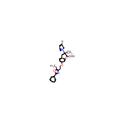 COC(=O)[C@](C)(Cc1ccc(OCCc2nc(-c3ccccc3)oc2C)cc1)n1ccc(Br)c1